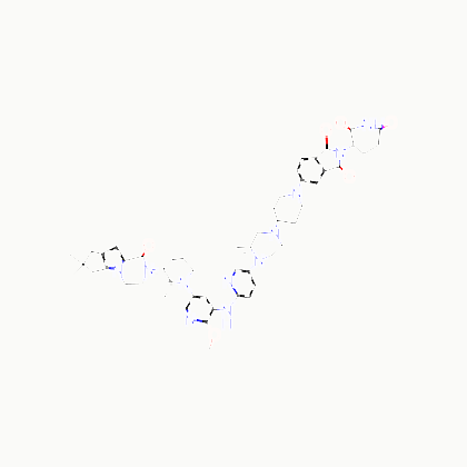 COc1ncc(N2CCC[C@H](N3CCn4c(cc5c4CC(C)(C)C5)C3=O)[C@@H]2C)cc1Nc1ccc(N2CCN(C3CCN(c4ccc5c(c4)C(=O)N(C4CCC(=O)NC4=O)C5=O)CC3)C[C@@H]2C)cn1